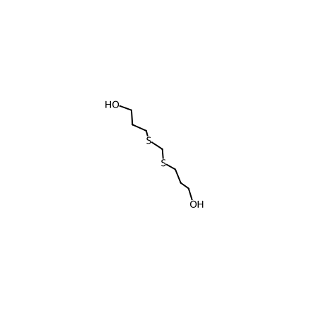 OCCCSCSCCCO